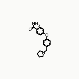 NC(=O)c1ccc(Oc2ccc(CN3CCCC3)cc2)cc1